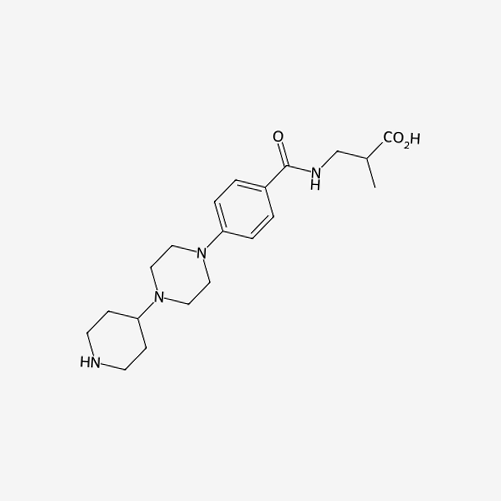 CC(CNC(=O)c1ccc(N2CCN(C3CCNCC3)CC2)cc1)C(=O)O